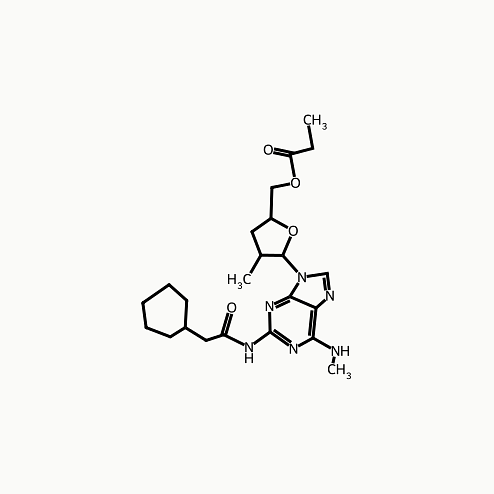 CCC(=O)OCC1CC(C)C(n2cnc3c(NC)nc(NC(=O)CC4CCCCC4)nc32)O1